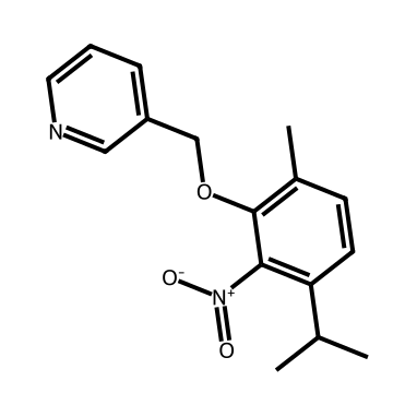 Cc1ccc(C(C)C)c([N+](=O)[O-])c1OCc1cccnc1